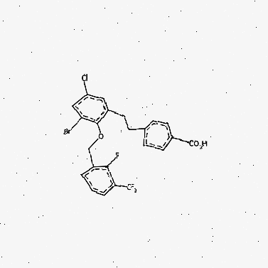 O=C(O)c1ccc(CCc2cc(Cl)cc(Br)c2OCc2cccc(C(F)(F)F)c2F)cc1